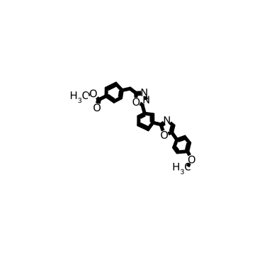 COC(=O)c1ccc(Cc2nnc(-c3cccc(-c4ncc(-c5ccc(OC)cc5)o4)c3)o2)cc1